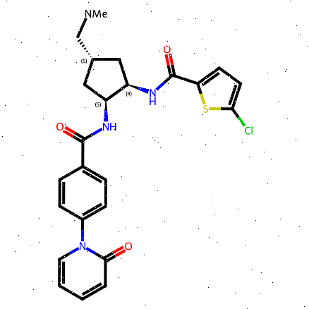 CNC[C@H]1C[C@H](NC(=O)c2ccc(-n3ccccc3=O)cc2)[C@H](NC(=O)c2ccc(Cl)s2)C1